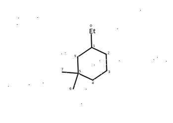 CCC1CCCC(C)(C)C1